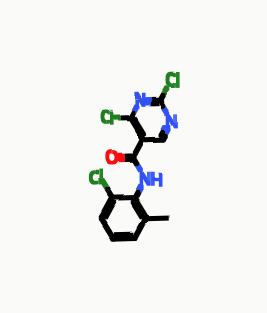 Cc1cccc(Cl)c1NC(=O)c1cnc(Cl)nc1Cl